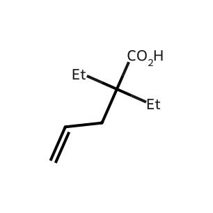 C=CCC(CC)(CC)C(=O)O